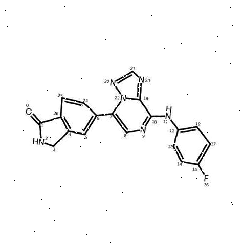 O=C1NCc2cc(-c3cnc(Nc4ccc(F)cc4)c4ncnn34)ccc21